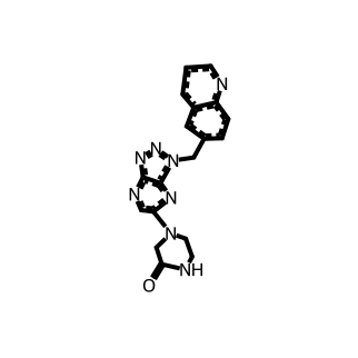 O=C1CN(c2cnc3nnn(Cc4ccc5ncccc5c4)c3n2)CCN1